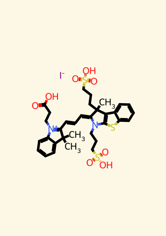 CC1(C)C(/C=C/C=C2\N(CCCS(=O)(=O)O)c3sc4ccccc4c3C2(C)CCCS(=O)(=O)O)=[N+](CCC(=O)O)c2ccccc21.[I-]